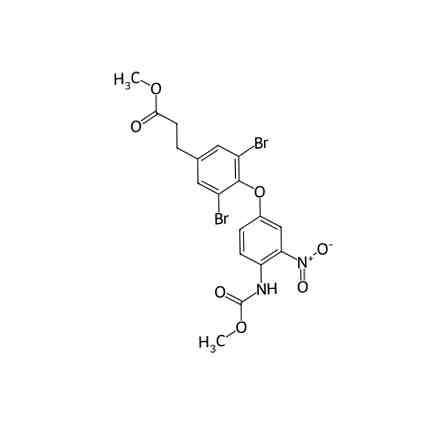 COC(=O)CCc1cc(Br)c(Oc2ccc(NC(=O)OC)c([N+](=O)[O-])c2)c(Br)c1